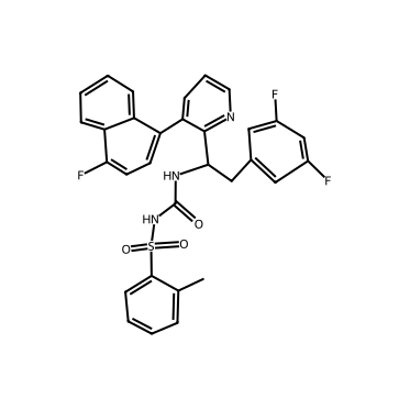 Cc1ccccc1S(=O)(=O)NC(=O)NC(Cc1cc(F)cc(F)c1)c1ncccc1-c1ccc(F)c2ccccc12